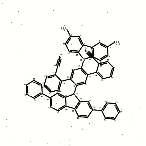 Cc1ccc2c(c1)c1cc(C)ccc1n2-c1cc(-c2ccccc2C#N)c(-n2c3cc(-c4ccccc4)ccc3c3ccc(-c4ccccc4)cc32)cc1-c1ccccc1C#N